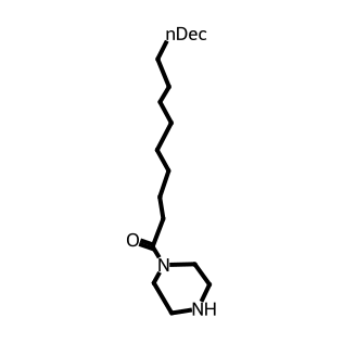 CCCCCCCCCCCCCCCCCCC(=O)N1CCNCC1